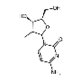 CC1C(n2ccc(N)nc2=O)O[C@H](CO)[C@@H]1O